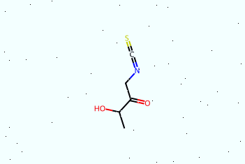 CC(O)C(=O)CN=C=S